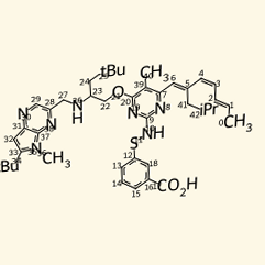 C/C=C/C=C\C(=C\c1nc(NSc2cccc(C(=O)O)c2)nc(OCC(CC(C)(C)C)NCc2cnc3cc(C(C)(C)C)n(C)c3n2)c1C)CC(C)C